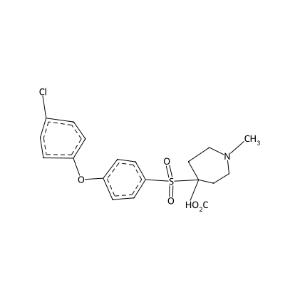 CN1CCC(C(=O)O)(S(=O)(=O)c2ccc(Oc3ccc(Cl)cc3)cc2)CC1